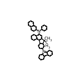 CC1(C)c2cc(-n3c4ccccc4c4ccccc43)ccc2-c2c1cc(N(c1ccccc1)c1ccc3ccccc3c1)c1ccccc21